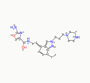 CCC(C)/C=C\C(=C/CNC(O)c1coc(N)n1)c1cnn(CCCN2CCNCC2)c1